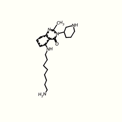 Cc1nc2cccc(NCCCCCCCCN)c2c(=O)n1C1CCCNC1